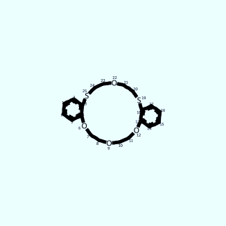 c1ccc2c(c1)OCCOCCOc1ccccc1SCCOCCS2